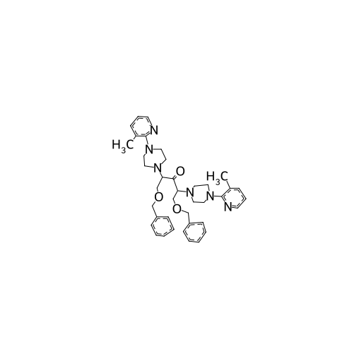 Cc1cccnc1N1CCN(C(COCc2ccccc2)C(=O)C(COCc2ccccc2)N2CCN(c3ncccc3C)CC2)CC1